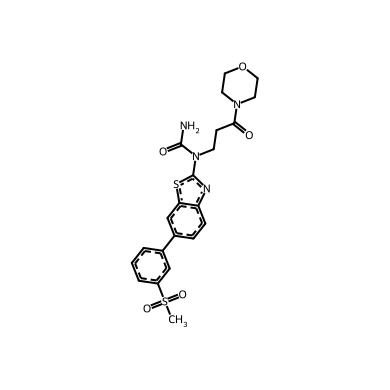 CS(=O)(=O)c1cccc(-c2ccc3nc(N(CCC(=O)N4CCOCC4)C(N)=O)sc3c2)c1